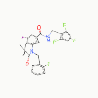 CC1(C)C(=O)N(Cc2ccccc2F)c2cc(C(=O)NCc3c(F)cc(F)cc3F)cc(I)c21